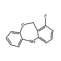 Fc1cccc2c1COc1ccccc1N2